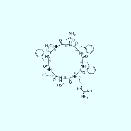 C[C@@H]1NC(=O)[C@H](CC(N)=O)NC(=O)[C@H](Cc2ccccc2)NC(=O)[C@H](Cc2ccccc2)NC(=O)[C@H](CCCNC(=N)N)NC(=O)[C@H](CS)NC(=O)[C@H](CS)NC(=O)[C@H](Cc2ccccc2)NC1=O